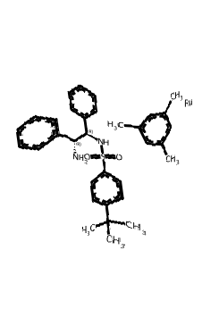 CC(C)(C)c1ccc(S(=O)(=O)N[C@H](c2ccccc2)[C@H](N)c2ccccc2)cc1.Cc1cc(C)cc(C)c1.[Ru]